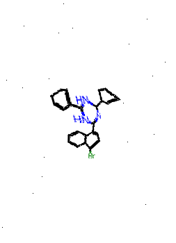 BrC1=CC=C(C2=NC(C3C=CC=CC3)NC(C3=CCCC=C3)N2)C2C=CC=CC12